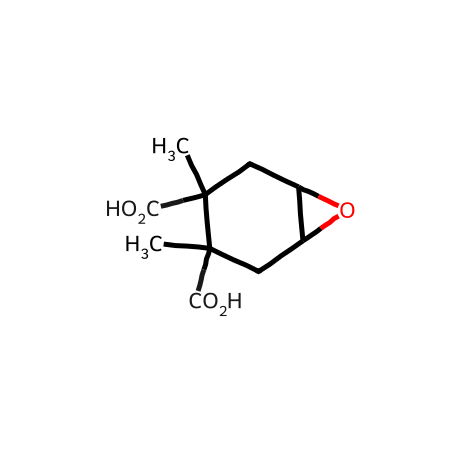 CC1(C(=O)O)CC2OC2CC1(C)C(=O)O